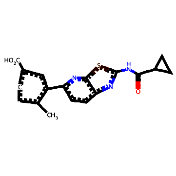 Cc1ccc(C(=O)O)cc1-c1ccc2nc(NC(=O)C3CC3)sc2n1